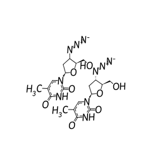 Cc1cn([C@H]2CC(N=[N+]=[N-])[C@@H](CO)O2)c(=O)[nH]c1=O.Cc1cn([C@H]2C[C@H](N=[N+]=[N-])[C@@H](CO)O2)c(=O)[nH]c1=O